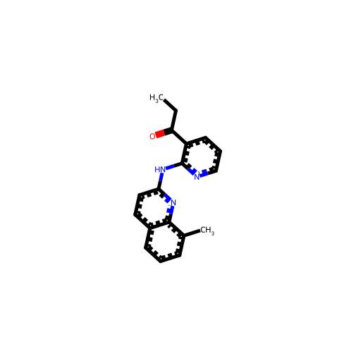 CCC(=O)c1cccnc1Nc1ccc2cccc(C)c2n1